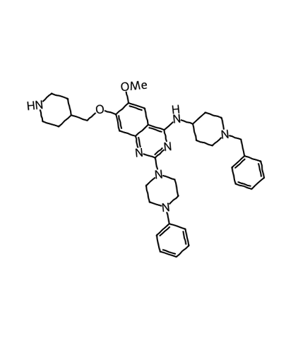 COc1cc2c(NC3CCN(Cc4ccccc4)CC3)nc(N3CCN(c4ccccc4)CC3)nc2cc1OCC1CCNCC1